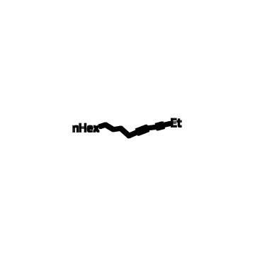 [CH2]CC#CC#CCCCCCCCCCC